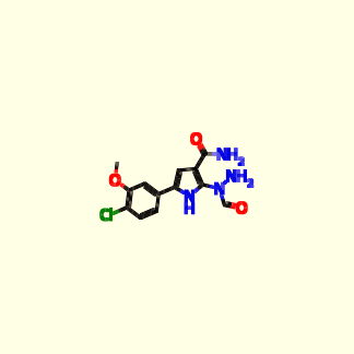 COc1cc(-c2cc(C(N)=O)c(N(N)C=O)[nH]2)ccc1Cl